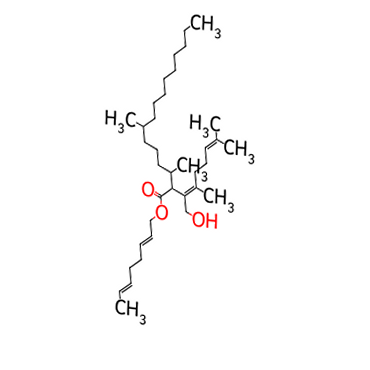 CC=CCCC=CCOC(=O)C(C(CO)=C(C)CCC=C(C)C)C(C)CCCC(C)CCCCCCCCC